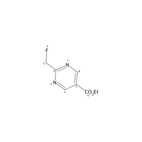 CCOC(=O)c1cnc(CF)nc1